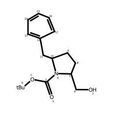 CC(C)(C)OC(=O)N1C(CO)CCC1Cc1ccccc1